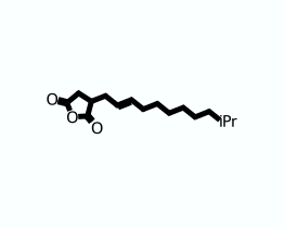 CC(C)CCCCCCC=CCC1CC(=O)OC1=O